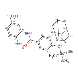 CC(C)(C)[Si](C)(C)Oc1ccc(C(=O)Nc2cc(C(=O)O)ccc2N)cc1C12CC3CC(CC(C3)C1)C2